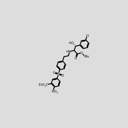 CCOC(=O)c1cc(S(=O)(=O)c2ccc(CCNC(C(=O)OC(C)(C)C)[C@H](O)c3cccc(Cl)c3)cc2)ccc1[N+](=O)[O-]